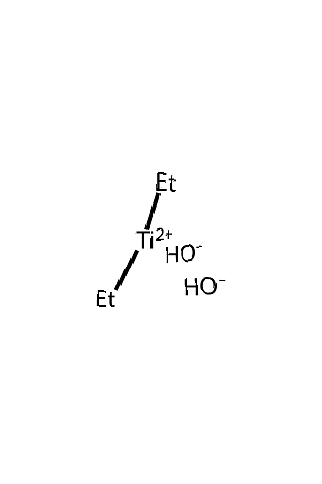 C[CH2][Ti+2][CH2]C.[OH-].[OH-]